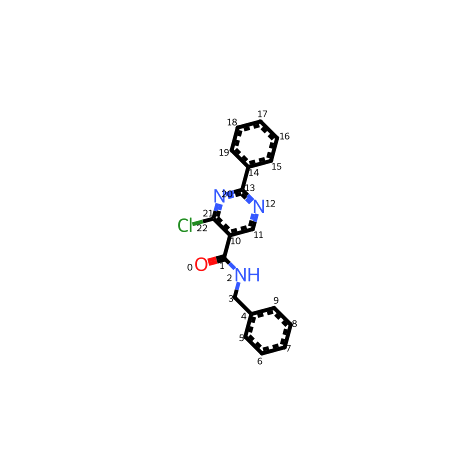 O=C(NCc1ccccc1)c1cnc(-c2ccccc2)nc1Cl